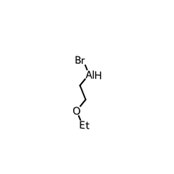 CCOC[CH2][AlH][Br]